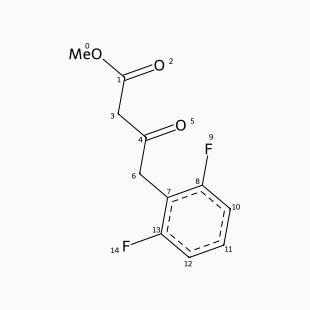 COC(=O)CC(=O)Cc1c(F)cccc1F